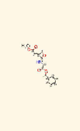 COC(=O)C=C1COC1NCC(=O)OCc1ccccc1